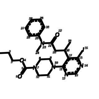 CCCCOC(=O)N1CCN(c2ncnc(I)c2C(C)CC(=O)N(C)c2ccccc2)CC1